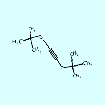 CC(C)(C)OC#COC(C)(C)C